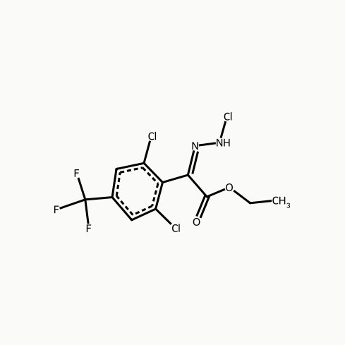 CCOC(=O)C(=NNCl)c1c(Cl)cc(C(F)(F)F)cc1Cl